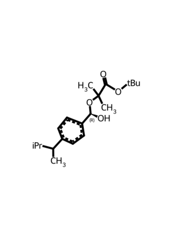 CC(C)C(C)c1ccc([C@H](O)OC(C)(C)C(=O)OC(C)(C)C)cc1